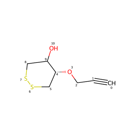 C#CCO[C@@H]1CSSCC1O